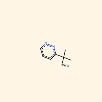 CCCC(C)C(C)(C)c1cccnn1